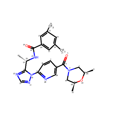 C[C@@H]1CN(C(=O)c2ccc(-n3ncnc3[C@H](C)NC(=O)c3cc(C(F)(F)F)cc(C(F)(F)F)c3)nc2)C[C@H](C)O1